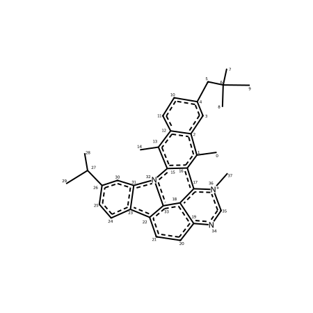 Cc1c2cc(CC(C)(C)C)ccc2c(C)c2c1c1c3c(ccc4c5ccc(C(C)C)cc5n2c43)nc[n+]1C